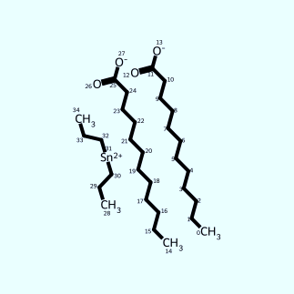 CCCCCCCCCCCC(=O)[O-].CCCCCCCCCCCC(=O)[O-].CC[CH2][Sn+2][CH2]CC